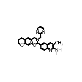 Cc1cc2cc(C(=O)N(Cc3cc4c(cn3)OCCC4)Cc3ncccn3)ccc2nc1NI